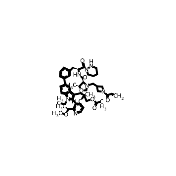 C=CC(=O)N1CC(CN2CO[C@H](C)[C@H]2C(=O)N[C@@H](Cc2cccc(-c3ccc4c(c3)c(CC(C)(C)COC(C)=O)c(-c3cccnc3[C@H](C)OC)n4CC)c2)C(=O)N2CCCCN2)C1